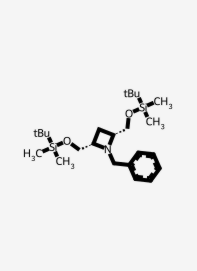 CC(C)(C)[Si](C)(C)OC[C@@H]1C[C@H](CO[Si](C)(C)C(C)(C)C)N1Cc1ccccc1